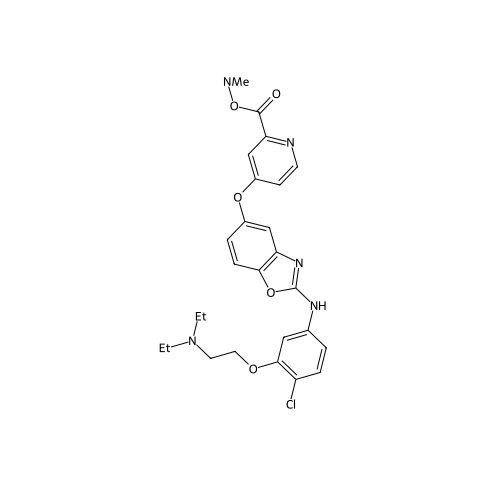 CCN(CC)CCOc1cc(Nc2nc3cc(Oc4ccnc(C(=O)ONC)c4)ccc3o2)ccc1Cl